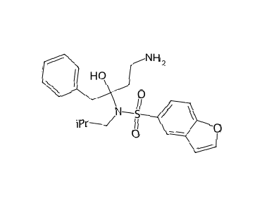 CC(C)CN(C(O)(CCN)Cc1ccccc1)S(=O)(=O)c1ccc2occc2c1